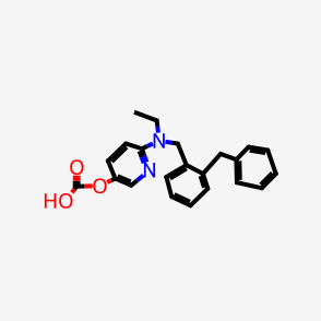 CCN(Cc1ccccc1Cc1ccccc1)c1ccc(OC(=O)O)cn1